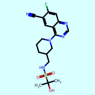 CC(C)(O)S(=O)(=O)NCC1CCCN(c2ncnc3cc(F)c(C#N)cc23)C1